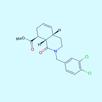 COC(=O)[C@H]1CC=C[C@@H]2CCN(Cc3ccc(Cl)c(Cl)c3)C(=O)[C@@H]21